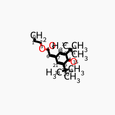 C=CCOC(=O)C=C1C=C(C(C)(C)C)C(=O)C(C(C)(C)C)=C1